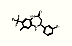 Cc1cc2c(cc1C(F)(F)F)NC(=O)CC(c1cccc(Br)c1)N2